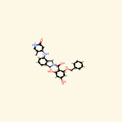 Cc1c[nH]c(=O)cc1Nc1cccc2c1CN(C(=O)c1c(O)cc(O)cc1OCc1ccccc1)C2